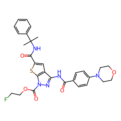 CC(C)(NC(=O)c1cc2c(NC(=O)c3ccc(N4CCOCC4)cc3)nn(C(=O)OCCF)c2s1)c1ccccc1